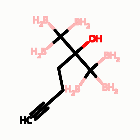 BC(B)(B)C(O)(CCC#C)C(B)(B)B